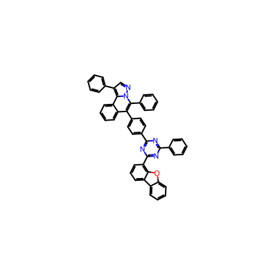 c1ccc(-c2nc(-c3ccc(-c4c(-c5ccccc5)n5ncc(-c6ccccc6)c5c5ccccc45)cc3)nc(-c3cccc4c3oc3ccccc34)n2)cc1